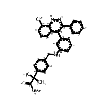 COC(=O)C(C)(C)c1ccc(CNc2cccc(-c3c(-c4ccccc4)nnc4c(Cl)cccc34)c2)cc1